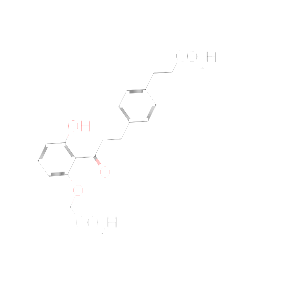 O=C(O)CCc1ccc(CCC(=O)c2c(O)cccc2OCC(=O)O)cc1